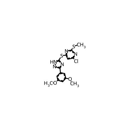 COc1cc(OC)cc(-c2n[nH]c(Sc3cc(Cl)nc(SC)n3)n2)c1